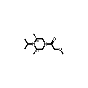 COCC(=O)N1C[C@@H](C)N(C(C)C)[C@@H](C)C1